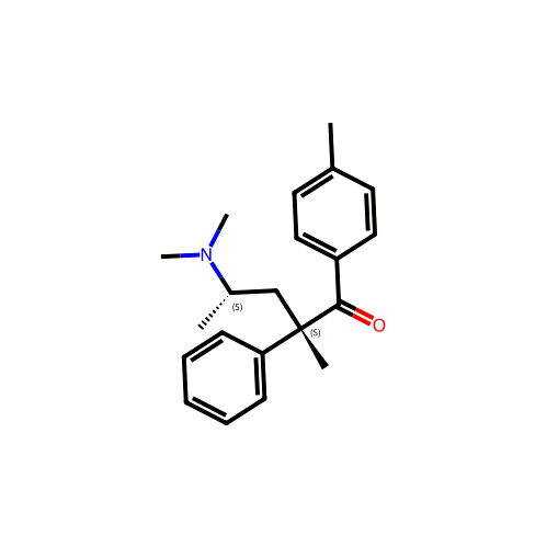 Cc1ccc(C(=O)[C@@](C)(C[C@H](C)N(C)C)c2ccccc2)cc1